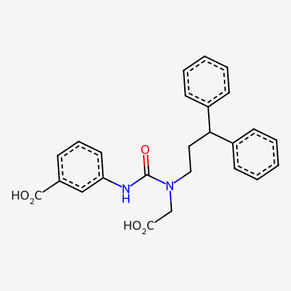 O=C(O)CN(CCC(c1ccccc1)c1ccccc1)C(=O)Nc1cccc(C(=O)O)c1